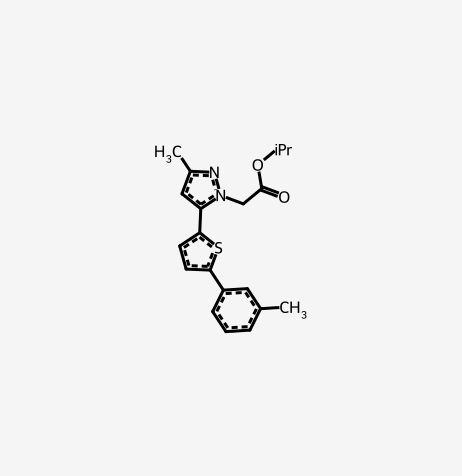 Cc1cccc(-c2ccc(-c3cc(C)nn3CC(=O)OC(C)C)s2)c1